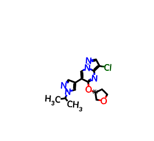 CC(C)n1cc(-c2cn3ncc(Cl)c3nc2O[C@H]2CCOC2)cn1